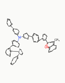 Cc1c(-c2cccc(-c3ccc(-c4ccc(N(c5ccc(-c6ccccc6)cc5)c5ccc(-c6ccccc6-c6ccccc6-c6ccccc6)cc5)cc4)cc3)c2)oc2ccccc12